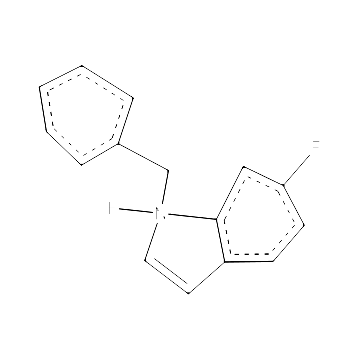 Fc1ccc2c(c1)[N+](F)(Cc1ccccc1)C=C2